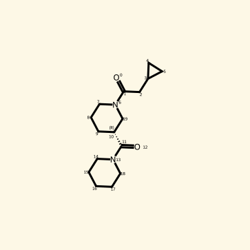 O=C(CC1CC1)N1CCC[C@@H](C(=O)N2CCCCC2)C1